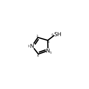 SC1C=NC=N1